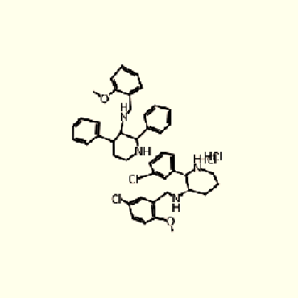 COc1ccc(Cl)cc1CN[C@@H]1CCCN[C@@H]1c1cccc(Cl)c1.COc1ccccc1CNC1C(c2ccccc2)CCNC1c1ccccc1.Cl.Cl